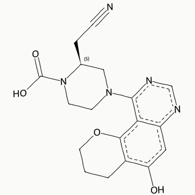 N#CC[C@H]1CN(c2ncnc3cc(O)c4c(c23)OCCC4)CCN1C(=O)O